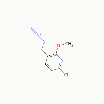 COc1nc(Cl)ccc1CN=[N+]=[N-]